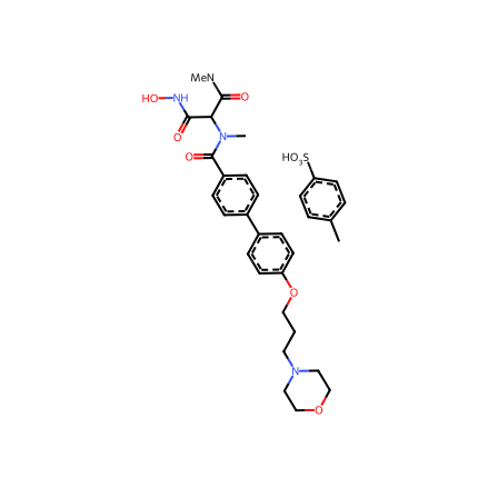 CNC(=O)C(C(=O)NO)N(C)C(=O)c1ccc(-c2ccc(OCCCN3CCOCC3)cc2)cc1.Cc1ccc(S(=O)(=O)O)cc1